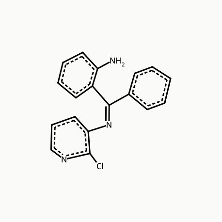 Nc1ccccc1/C(=N\c1cccnc1Cl)c1ccccc1